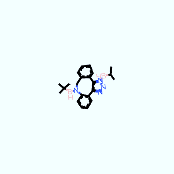 CC(C)Bn1nnc2c1-c1ccccc1CN(BC(C)(C)C)c1ccccc1-2